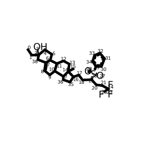 CC[C@]1(O)CCC2C(=CCC3C2CCC2(C)C(CCC(CCC(F)(F)F)S(=O)(=O)c4ccccc4)CCC32)C1